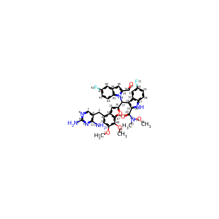 COc1cc(Cc2cnc(N)nc2N)c2cc(C(c3c(C(=O)N(C)OC)[nH]c4ccc(F)cc34)n3c(C=O)cc4cc(F)ccc43)oc2c1OC